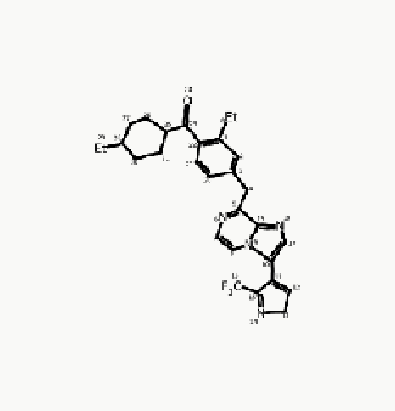 CCc1cc(Cc2nccn3c(C4=CCN=C4C(F)(F)F)cnc23)ccc1C(=O)C1CCC(CC)CC1